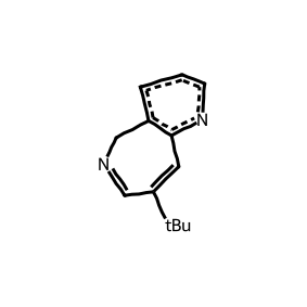 CC(C)(C)C1=Cc2ncccc2CN=C1